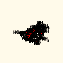 C#CCOCCOCCOCCOCCC(=O)N(CC(=O)N[C@@H](CCCC)C(=O)N[C@@H](CCN)C(=O)N[C@H](C(=O)N[C@H](CO)C(N)=O)[C@@H](C)O)CC(=O)N[C@@H](CCCC)C(=O)N[C@@H](CCN)C(=O)N[C@H](C(=O)N[C@H](CO)C(=O)N[C@H]1CCNC(=O)[C@H]([C@@H](C)O)NC(=O)[C@H](CCN)NC(=O)[C@H](CCN)NC(=O)[C@H](CC(C)C)NC(=O)[C@@H](Cc2ccccc2)NC(=O)[C@H](CCCN)NC1=O)[C@@H](C)O